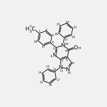 Cc1ccc(-c2nc3c(cnn3-c3ccccc3)c(=O)n2-c2ccccc2)cc1